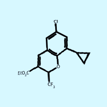 CCOC(=O)C1=Cc2cc(Cl)cc(C3CC3)c2OC1C(F)(F)F